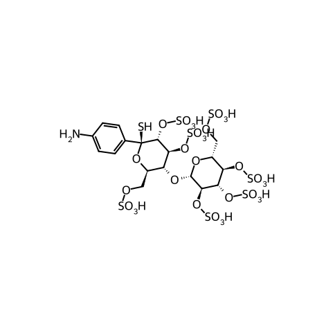 Nc1ccc([C@@]2(S)O[C@H](COS(=O)(=O)O)[C@@H](O[C@@H]3O[C@H](COS(=O)(=O)O)[C@@H](OS(=O)(=O)O)[C@H](OS(=O)(=O)O)[C@H]3OS(=O)(=O)O)[C@H](OS(=O)(=O)O)[C@H]2OS(=O)(=O)O)cc1